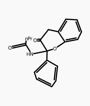 CCCC(=O)NC1(c2ccccc2)Oc2ccccc2CC1=O